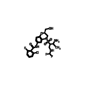 CC(N)C(CNC(F)F)S(=O)(=O)N1C[C@H](CO)Oc2ccc(NC(=O)c3c(F)cccc3Cl)cc21